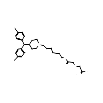 Cc1ccc(C(c2ccc(C)cc2)C2CCN(CCCCCCNC(=O)COCC(=O)O)CC2)cc1